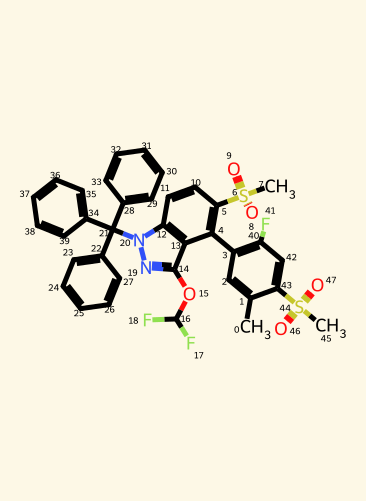 Cc1cc(-c2c(S(C)(=O)=O)ccc3c2c(OC(F)F)nn3C(c2ccccc2)(c2ccccc2)c2ccccc2)c(F)cc1S(C)(=O)=O